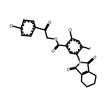 O=C(COC(=O)c1cc(N2C(=O)C3=C(CCCC3)C2=O)c(F)cc1Cl)c1ccc(Cl)cc1